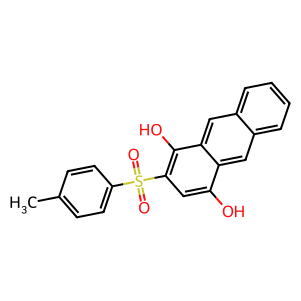 Cc1ccc(S(=O)(=O)c2cc(O)c3cc4ccccc4cc3c2O)cc1